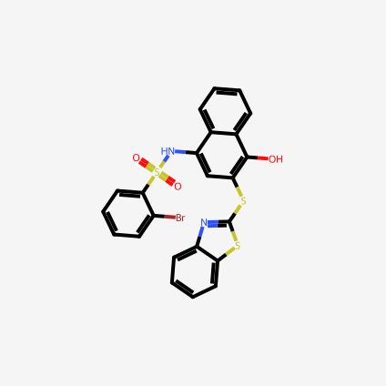 O=S(=O)(Nc1cc(Sc2nc3ccccc3s2)c(O)c2ccccc12)c1ccccc1Br